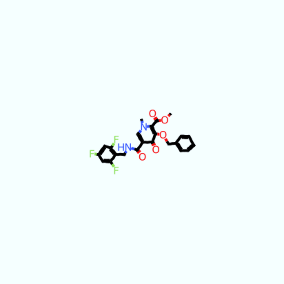 COC(=O)c1c(OCc2ccccc2)c(=O)c(C(=O)NCc2c(F)cc(F)cc2F)cn1C